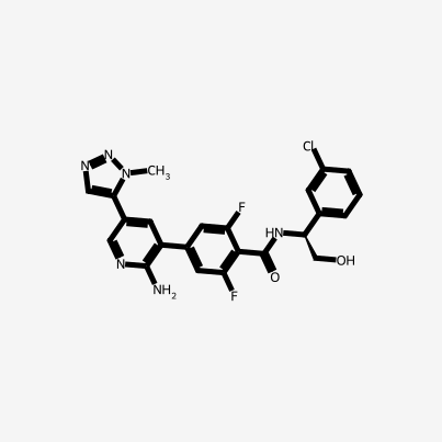 Cn1nncc1-c1cnc(N)c(-c2cc(F)c(C(=O)N[C@H](CO)c3cccc(Cl)c3)c(F)c2)c1